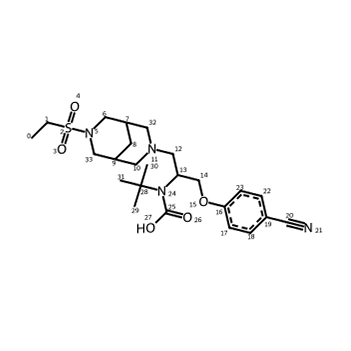 CCS(=O)(=O)N1CC2CC(CN(CC(COc3ccc(C#N)cc3)N(C(=O)O)C(C)(C)C)C2)C1